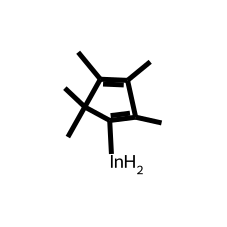 CC1=C(C)C(C)(C)[C]([InH2])=C1C